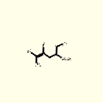 CCOC(=O)C(C/C(F)=C(\C)Br)CC(C)C